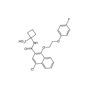 O=C(NC1(C(=O)O)CCC1)c1cc(Cl)c2ccccc2c1OCCOc1ccc(F)cc1